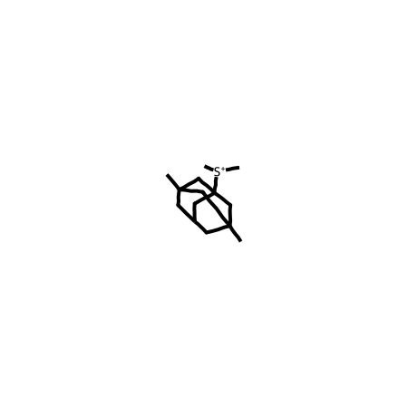 C[S+](C)C12CC3CC(C)(CC(C)(C3)C1)C2